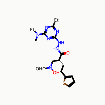 CCc1nc(NNC(=O)[C@H](CCc2cccs2)CN(O)C=O)nc(N(C)CC)n1